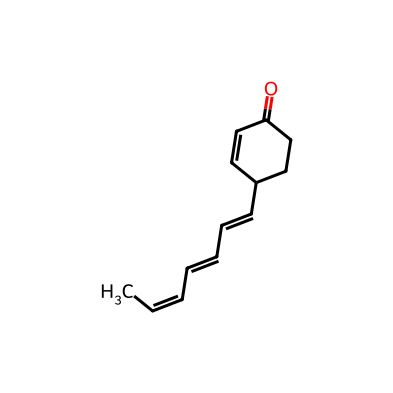 C\C=C/C=C/C=C/C1C=CC(=O)CC1